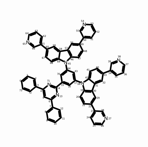 c1ccc(-c2cc(-c3ccccc3)nc(-c3cc(-n4c5ccc(-c6cccnc6)cc5c5cc(-c6cccnc6)ccc54)cc(-n4c5ccc(-c6cccnc6)cc5c5cc(-c6cccnc6)ccc54)c3)n2)cc1